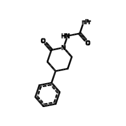 CCCC(=O)NN1CCC(c2ccccc2)CC1=O